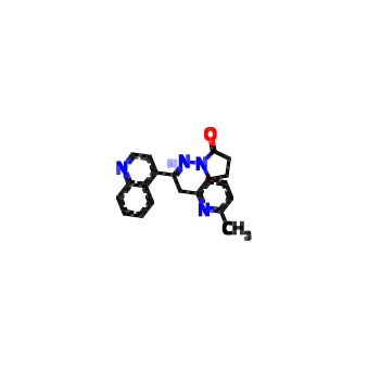 Cc1cccc(C/C(=N\N2CCCC2=O)c2ccnc3ccccc23)n1